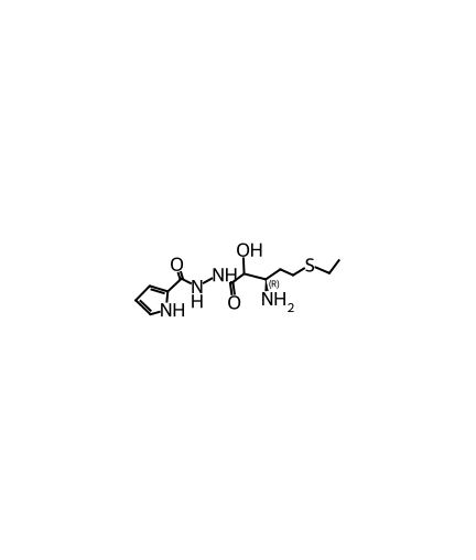 CCSCC[C@@H](N)C(O)C(=O)NNC(=O)c1ccc[nH]1